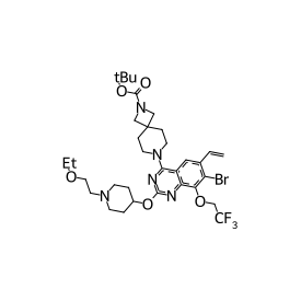 C=Cc1cc2c(N3CCC4(CC3)CN(C(=O)OC(C)(C)C)C4)nc(OC3CCN(CCOCC)CC3)nc2c(OCC(F)(F)F)c1Br